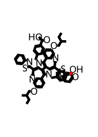 CCC(C)COc1ccc(-c2c3/c(=C(\C#N)c4nc5ccccc5s4)n(Cc4ccc(C(=O)O)cc4)c(-c4ccc(OCC(C)CC)cc4)c3/c(=C(\C#N)c3nc4ccccc4s3)n2Cc2ccc(C(=O)O)cc2)cc1